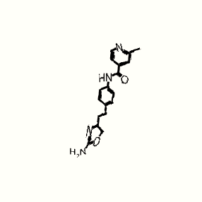 Cc1cc(C(=O)Nc2ccc(CCC3COC(N)=N3)cc2)ccn1